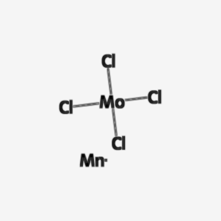 [Cl][Mo]([Cl])([Cl])[Cl].[Mn]